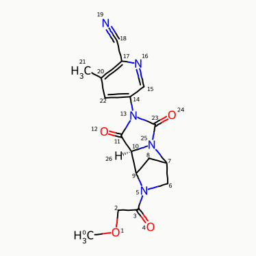 COCC(=O)N1CC2CC1[C@H]1C(=O)N(c3cnc(C#N)c(C)c3)C(=O)N21